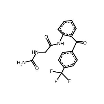 NC(=O)NCC(=O)Nc1ccccc1C(=O)c1ccc(C(F)(F)F)cc1